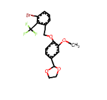 COc1cc(C2OCCO2)ccc1OCc1cccc(Br)c1C(F)(F)F